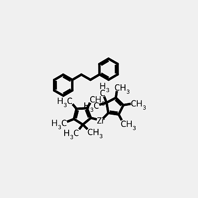 CC1=C(C)C(C)(C)[C]([Zr][C]2=C(C)C(C)=C(C)C2(C)C)=C1C.c1ccc(CCc2ccccc2)cc1